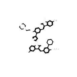 CC(=O)Nc1ccc2c(c1)NC(=O)C2=Cc1ccc(OCCN2CCOCC2)c(-c2ccsc2)c1.COc1ccc(C=C2C(=O)Nc3ccc(Cl)cc32)cc1C1CCCCC1